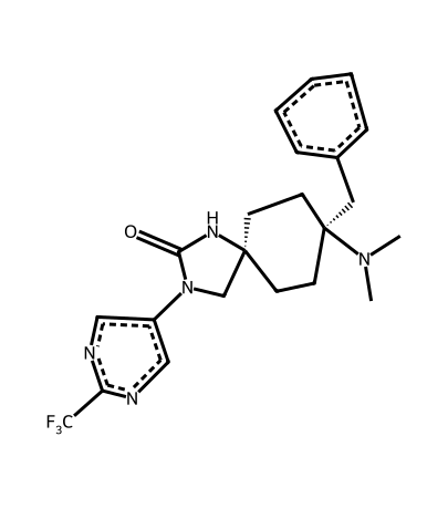 CN(C)[C@]1(Cc2ccccc2)CC[C@]2(CC1)CN(c1cnc(C(F)(F)F)nc1)C(=O)N2